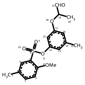 COc1ccc(C)cc1S(=O)(=O)Oc1cc(C)cc(OC(C)C=O)c1